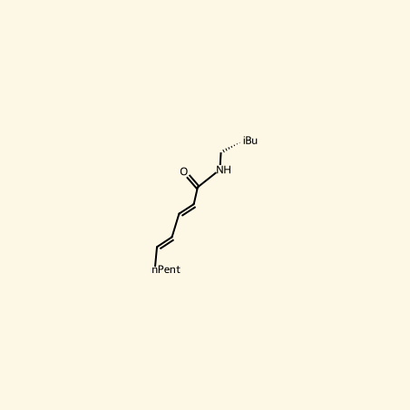 CCCCCC=CC=CC(=O)NC[C@@H](C)CC